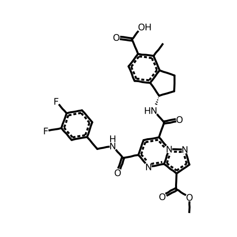 COC(=O)c1cnn2c(C(=O)N[C@H]3CCc4c3ccc(C(=O)O)c4C)cc(C(=O)NCc3ccc(F)c(F)c3)nc12